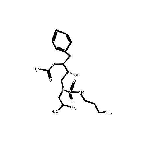 CCCCNS(=O)(=O)N(CC(C)C)C[C@@H](O)[C@H](Cc1ccccc1)OC(N)=O